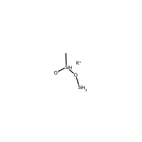 C[SiH]([O-])O[SiH3].[K+]